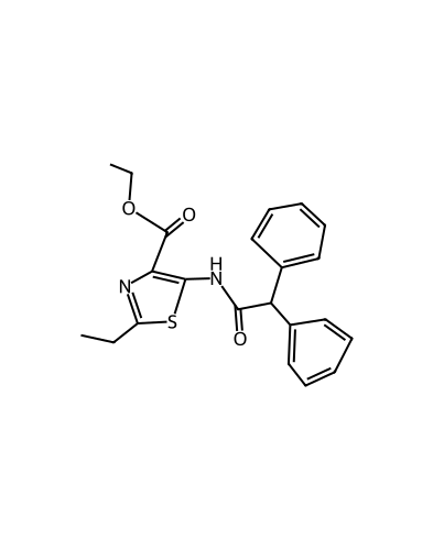 CCOC(=O)c1nc(CC)sc1NC(=O)C(c1ccccc1)c1ccccc1